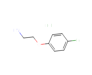 Cl.NCCOc1ccc(Br)cc1